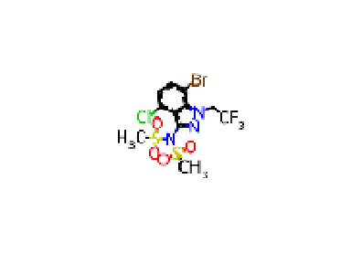 CS(=O)(=O)N(c1nn(CC(F)(F)F)c2c(Br)ccc(Cl)c12)S(C)(=O)=O